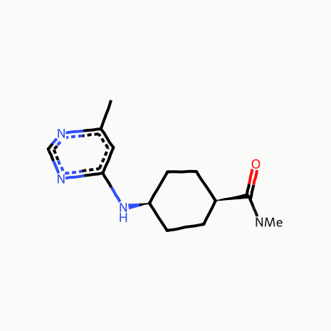 CNC(=O)[C@H]1CC[C@@H](Nc2cc(C)ncn2)CC1